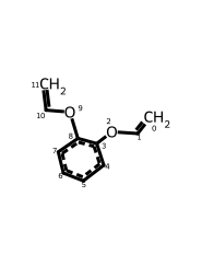 C=COc1ccccc1OC=C